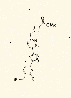 COC(=O)C1CN(Cc2ccc(-c3noc(-c4ccc(CC(C)C)c(Cl)c4)n3)c(C)n2)C1